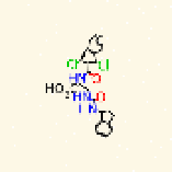 O=C(NCC(NC(=O)c1c(Cl)cc2c(c1Cl)CCCC2)C(=O)O)NC1CCc2ccccc21